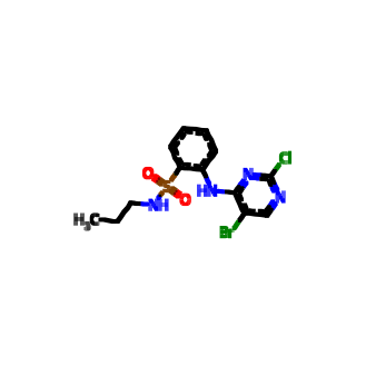 CCCNS(=O)(=O)c1ccccc1Nc1nc(Cl)ncc1Br